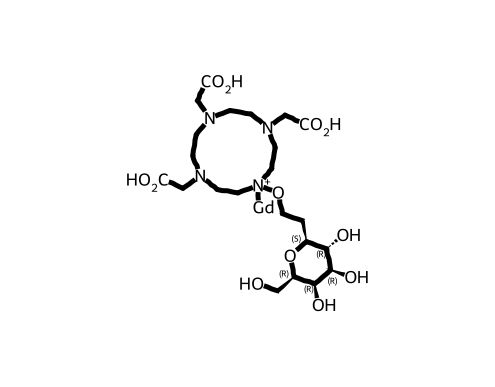 O=C(O)CN1CCN(CC(=O)O)CC[N+]([Gd])(OCC[C@@H]2O[C@H](CO)[C@H](O)[C@H](O)[C@H]2O)CCN(CC(=O)O)CC1